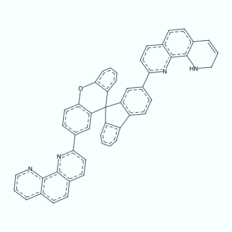 C1=Cc2ccc3ccc(-c4ccc5c(c4)C4(c6ccccc6Oc6ccc(-c7ccc8ccc9cccnc9c8n7)cc64)c4ccccc4-5)nc3c2NC1